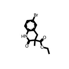 CCOC(=O)C1(C)Cc2cc(Br)ccc2NC1=O